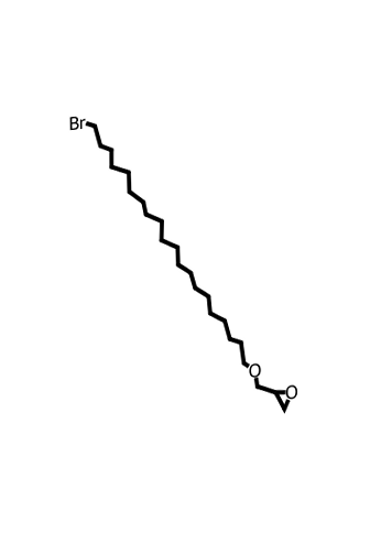 BrCCCCCCCCCCCCCCCCCCCCOCC1CO1